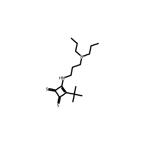 CCCN(CCC)CCCNc1c(C(C)(C)C)c(=S)c1=S